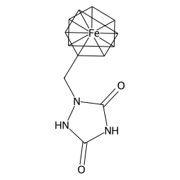 O=c1[nH]c(=O)n(C[C]23[CH]4[CH]5[CH]6[CH]2[Fe]56432789[CH]3[CH]2[CH]7[CH]8[CH]39)[nH]1